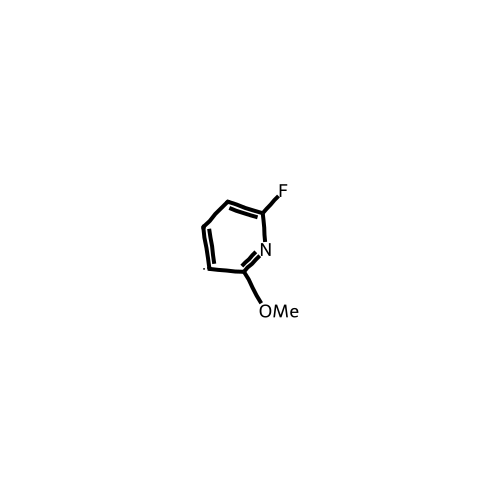 COc1[c]ccc(F)n1